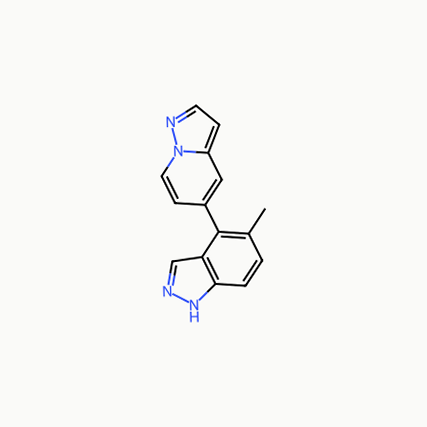 Cc1ccc2[nH]ncc2c1-c1ccn2nccc2c1